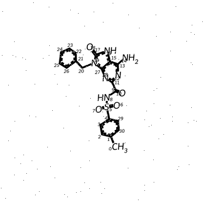 Cc1ccc(S(=O)(=O)NC(=O)c2nc(N)c3[nH]c(=O)n(Cc4ccccc4)c3n2)cc1